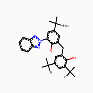 CCCCCC(C)(C)c1cc(Cc2cc(C(C)(C)CC)cc(C(C)(C)CC)c2O)c(O)c(-n2nc3ccccc3n2)c1